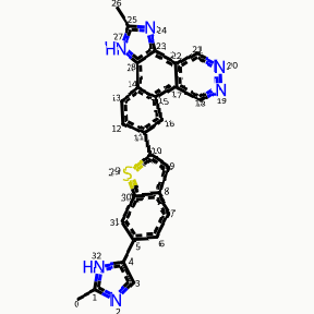 Cc1ncc(-c2ccc3cc(-c4ccc5c(c4)c4cnncc4c4nc(C)[nH]c54)sc3c2)[nH]1